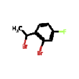 CC(Br)c1ccc(F)cc1Br